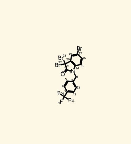 O=C1N(Cc2ccc(C(F)(F)F)cc2)c2ccc(Br)cc2C1(Br)Br